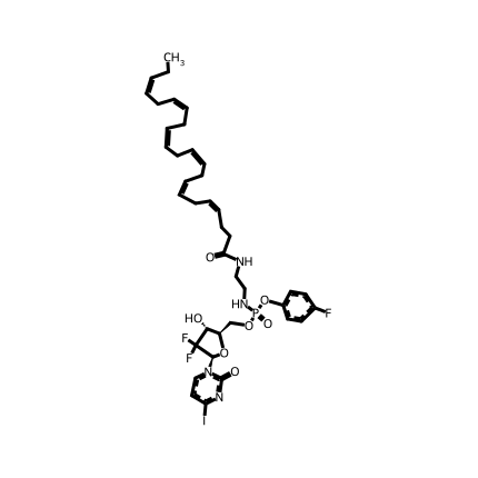 CC/C=C\C/C=C\C/C=C\C/C=C\C/C=C\C/C=C\CCC(=O)NCCNP(=O)(OC[C@H]1O[C@@H](n2ccc(I)nc2=O)C(F)(F)[C@@H]1O)Oc1ccc(F)cc1